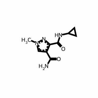 Cn1cc(C(N)=O)c(C(=O)NC2CC2)n1